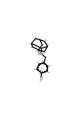 OC12CC3CC(C1)C(NCc1ccc(Cl)cc1)C(C3)C2